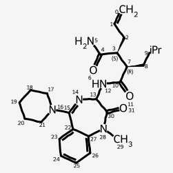 C=CC[C@H](C(N)=O)[C@@H](CC(C)C)C(=O)NC1N=C(N2CCCCC2)c2ccccc2N(C)C1=O